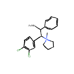 CC(=O)NC(c1ccccc1)C(c1ccc(Cl)c(Cl)c1)[N+]1(C)CCCC1